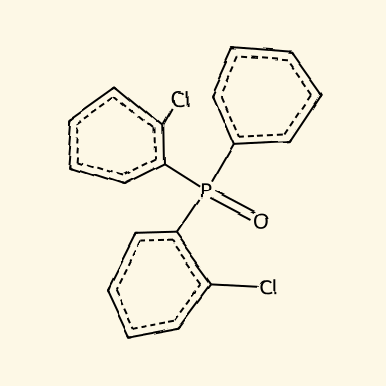 O=P(c1ccccc1)(c1ccccc1Cl)c1ccccc1Cl